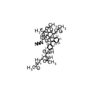 CC(=O)NCCCCC(NC(C)=O)C(=O)Nc1ccc(C(O[C@@H]2OC(COC(C)=O)[C@@H](OC(C)=O)C(OC(C)=O)C2NC(=O)CN=[N+]=[N-])c2ccccc2)cc1